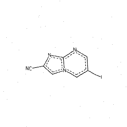 N#Cc1cn2cc(I)cnc2n1